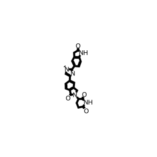 Cn1cc(-c2ccc3c(c2)CN(C2CCC(=O)NC2=O)C3=O)nc1-c1ccc2c(c1)CC(=O)N2